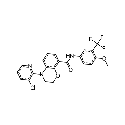 COc1ccc(NC(=O)c2cccc3c2OCCN3c2ncccc2Cl)cc1C(F)(F)F